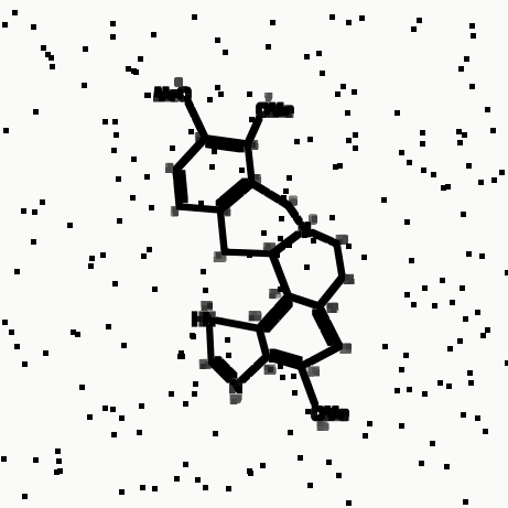 COc1ccc2c(c1OC)CN1CCc3cc(OC)c4nc[nH]c4c3C1C2